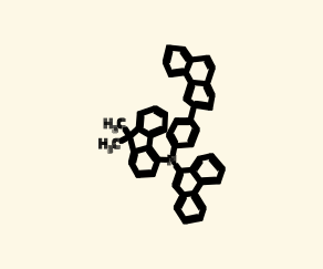 CC1(C)c2ccccc2-c2c(N(c3ccc(-c4ccc5ccc6ccccc6c5c4)cc3)c3cc4ccccc4c4ccccc34)cccc21